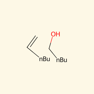 C=CCCCC.CCCCCO